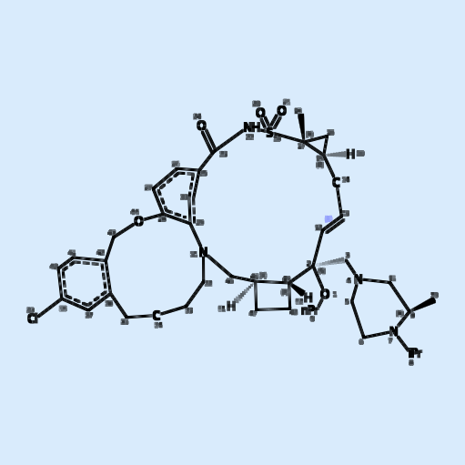 CCCO[C@]1(CN2CCN(C(C)C)[C@H](C)C2)/C=C/C[C@@H]2C[C@@]2(C)S(=O)(=O)NC(=O)c2ccc3c(c2)N(CCCCc2cc(Cl)ccc2CO3)C[C@@H]2CC[C@H]21